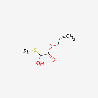 C=CCOC(=O)C(O)SCC